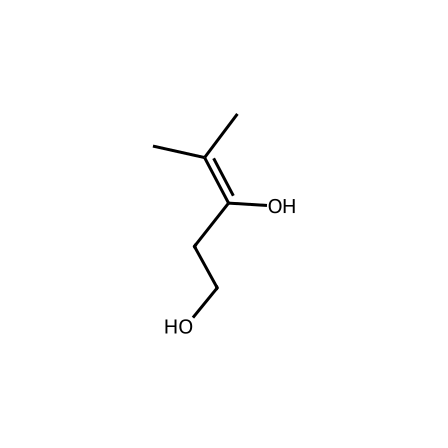 CC(C)=C(O)CCO